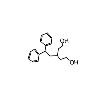 OCCC(CCO)CC(c1ccccc1)c1ccccc1